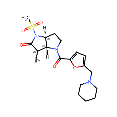 CC(C)[C@H]1C(=O)N(S(C)(=O)=O)[C@H]2CCN(C(=O)c3ccc(CN4CCCCC4)o3)[C@H]12